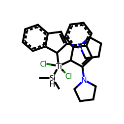 C[SiH](C)[Ti]([Cl])([Cl])([CH]1C(N2CCCC2)=Cc2ccccc21)[CH]1C(N2CCCC2)=Cc2ccccc21